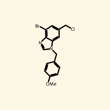 COc1ccc(Cn2cnc3c(Br)cc(CCl)cc32)cc1